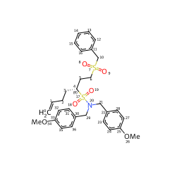 C=CCC[C@H](CCS(=O)(=O)Cc1ccccc1)S(=O)(=O)N(Cc1ccc(OC)cc1)Cc1ccc(OC)cc1